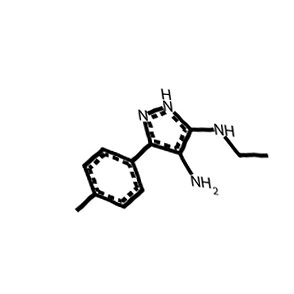 CCNc1[nH]nc(-c2ccc(C)cc2)c1N